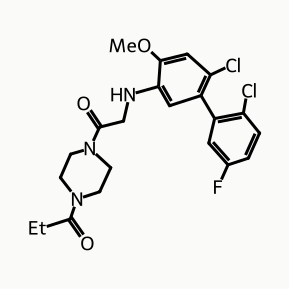 CCC(=O)N1CCN(C(=O)CNc2cc(-c3cc(F)ccc3Cl)c(Cl)cc2OC)CC1